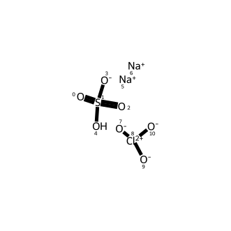 O=S(=O)([O-])O.[Na+].[Na+].[O-][Cl+2]([O-])[O-]